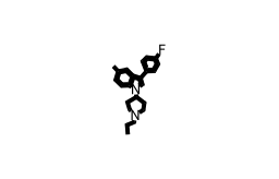 CCCN1CCC(n2cc(-c3ccc(F)cc3)c3cc(C)ccc32)CC1